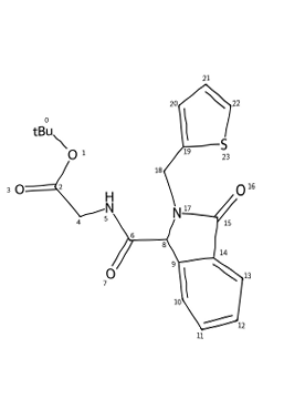 CC(C)(C)OC(=O)CNC(=O)C1c2ccccc2C(=O)N1Cc1cccs1